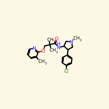 Cc1cccnc1OCC(C)(C)C(=O)NC1CN(C)CC1c1ccc(Cl)cc1